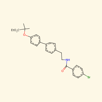 CCOC(=O)C(C)(C)Oc1ccc(-c2ccc(CCNC(=O)c3ccc(Br)cc3)cc2)cc1